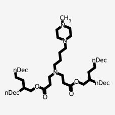 CCCCCCCCCCCCC(CCCCCCCCCC)COC(=O)CCN(CCCCN1CCN(C)CC1)CCC(=O)OCC(CCCCCCCCCC)CCCCCCCCCCCC